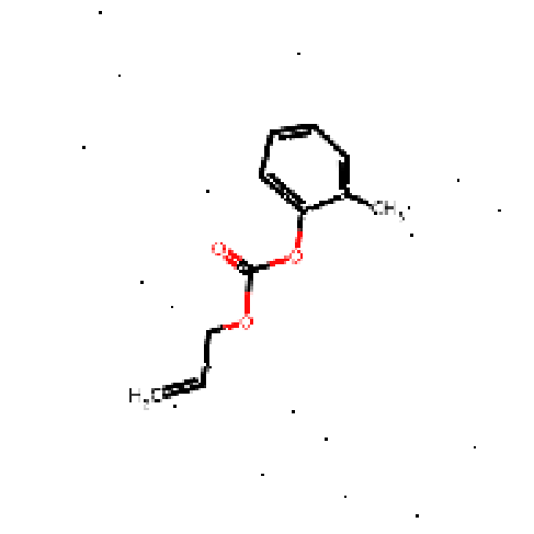 C=CCOC(=O)Oc1ccccc1C